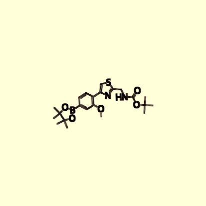 COc1cc(B2OC(C)(C)C(C)(C)O2)ccc1-c1csc(CNC(=O)OC(C)(C)C)n1